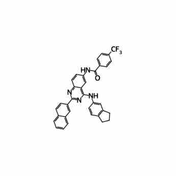 O=C(Nc1ccc2nc(-c3ccc4ccccc4c3)nc(Nc3ccc4c(c3)CCC4)c2c1)c1ccc(C(F)(F)F)cc1